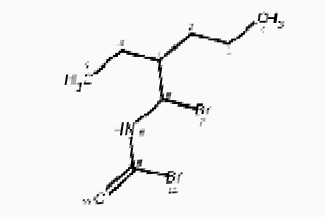 CCCC(CC)C(Br)NC(=O)Br